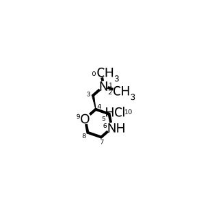 CN(C)C[C@H]1CNCCO1.Cl